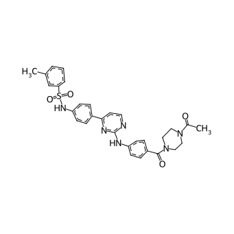 CC(=O)N1CCN(C(=O)c2ccc(Nc3nccc(-c4ccc(NS(=O)(=O)c5cccc(C)c5)cc4)n3)cc2)CC1